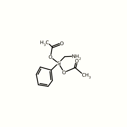 CC(=O)O[Si](CN)(OC(C)=O)c1ccccc1